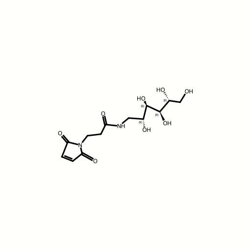 O=C(CCN1C(=O)C=CC1=O)NC[C@@H](O)[C@@H](O)[C@H](O)[C@H](O)CO